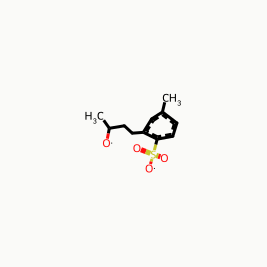 Cc1ccc(S([O])(=O)=O)c(CCC(C)[O])c1